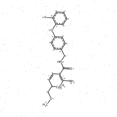 COCC(C)/C=C\C(C(=O)NCc1ccc(Oc2ccccc2F)cc1)=C(/C)N